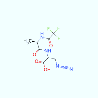 C[C@@H](NC(=O)C(F)(F)F)C(=O)N[C@H](CN=[N+]=[N-])C(=O)O